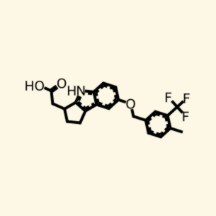 Cc1ccc(COc2ccc3[nH]c4c(c3c2)CCC4CC(=O)O)cc1C(F)(F)F